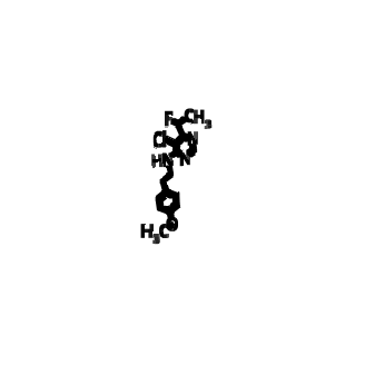 COc1ccc(CCNc2ncnc(C(C)F)c2Cl)cc1